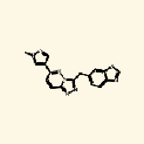 Cn1cc(-c2ccc3nnc(Cc4ccc5ncsc5c4)n3n2)cn1